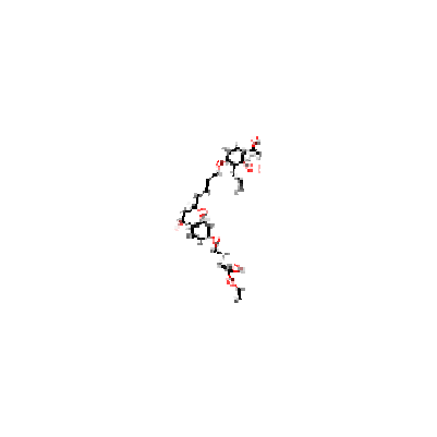 CCCc1c(OCCCCC2CC(=O)c3ccc(OCCCC(=O)OCC)cc3O2)ccc(C(C)=O)c1O